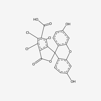 O=C(O)c1c(Cl)c(Cl)c2c(c1Cl)C1(OC2=O)c2ccc(O)cc2Oc2cc(O)ccc21